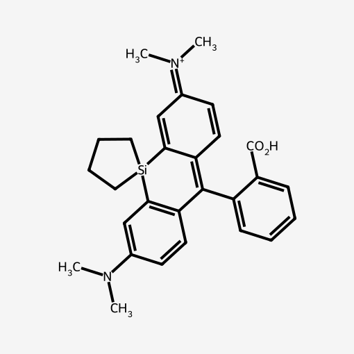 CN(C)c1ccc2c(c1)[Si]1(CCCC1)C1=CC(=[N+](C)C)C=CC1=C2c1ccccc1C(=O)O